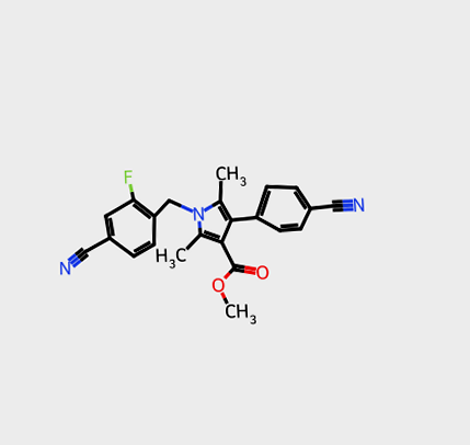 COC(=O)c1c(-c2ccc(C#N)cc2)c(C)n(Cc2ccc(C#N)cc2F)c1C